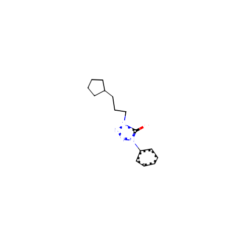 O=c1n(CCCC2CCCC2)nnn1-c1cc[c]cc1